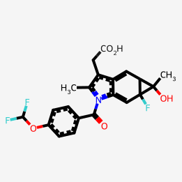 Cc1c(CC(=O)O)c2c(n1C(=O)c1ccc(OC(F)F)cc1)=CC1(F)C(C=2)C1(C)O